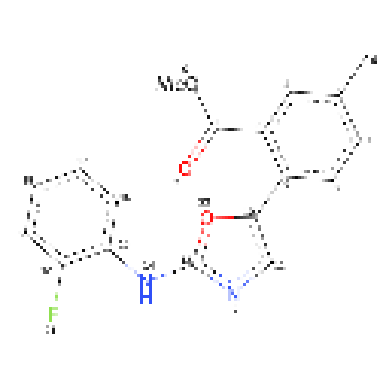 COC(=O)c1cc(C)ccc1-c1cnc(Nc2ccccc2F)o1